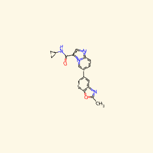 Cc1nc2cc(-c3ccc4ncc(C(=O)NC5CC5)n4c3)ccc2o1